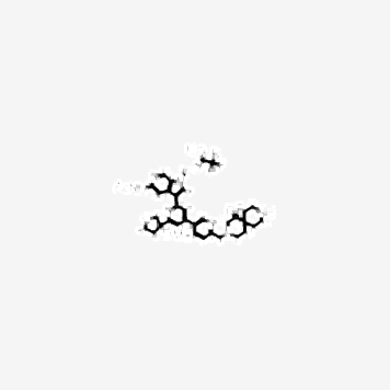 CO[C@@]1(c2cc(-c3ccc(CN4CCC5(CCNCC5)C(F)(F)C4)nc3)cc(-c3cn(C)c4cnc(NC(C)=O)cc34)n2)CCOC1.O=C(O)C(F)(F)F